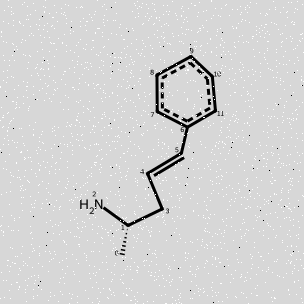 C[C@H](N)C/C=C/c1ccccc1